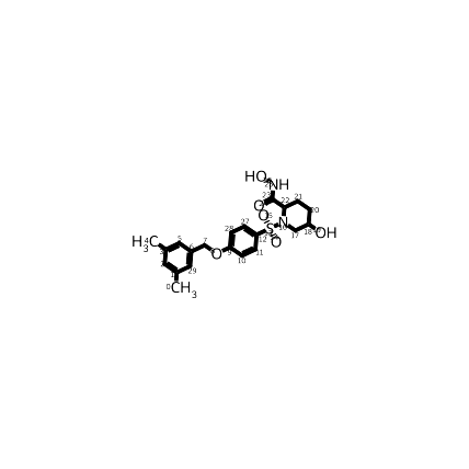 Cc1cc(C)cc(COc2ccc(S(=O)(=O)N3CC(O)CCC3C(=O)NO)cc2)c1